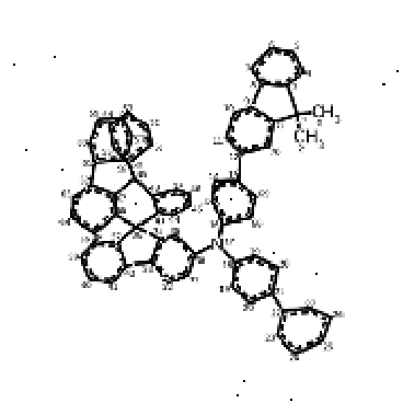 CC1(C)c2ccccc2-c2ccc(-c3ccc(N(c4ccc(-c5ccccc5)cc4)c4ccc5c(c4)C4(c6ccccc6-5)c5ccccc5C5(c6ccccc6)c6ccccc6-c6cccc4c65)cc3)cc21